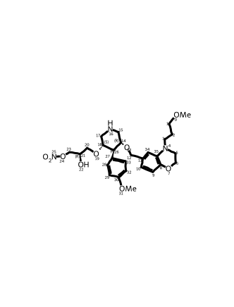 COCCCN1CCOc2ccc(CO[C@H]3CNC[C@@H](OC[C@@H](O)CO[N+](=O)[O-])[C@@H]3c3ccc(OC)cc3)cc21